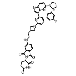 O=C1CCC(N2C(=O)c3ccc(NCCC4CN(c5cccc(-c6cnc7ccc(N8CCC[C@@H]8c8cccc(F)c8)nn67)n5)C4)cc3C2=O)C(=O)N1